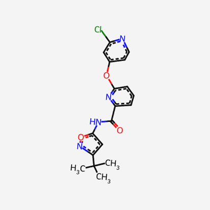 CC(C)(C)c1cc(NC(=O)c2cccc(Oc3ccnc(Cl)c3)n2)on1